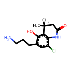 CC1(C)CC(=O)Nc2c(Cl)cc(CCCN)c(O)c21